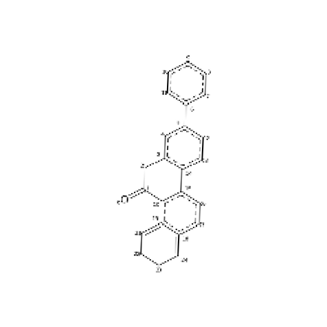 O=C1Cc2cc(-c3ccccc3)ccc2-c2ccc3c(c21)=CCCC=3